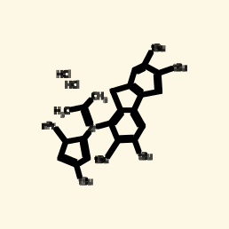 CCCC1C=C(C(C)(C)C)C=[C]1[Zr](=[C](C)C)[c]1c2c(cc(C(C)(C)C)c1C(C)(C)C)-c1cc(C(C)(C)C)c(C(C)(C)C)cc1C2.Cl.Cl